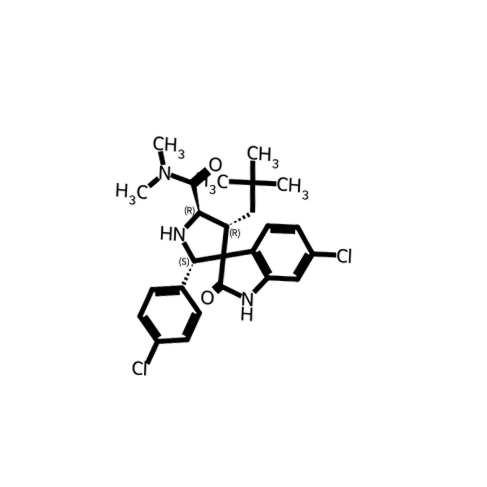 CN(C)C(=O)[C@@H]1N[C@@H](c2ccc(Cl)cc2)C2(C(=O)Nc3cc(Cl)ccc32)[C@H]1CC(C)(C)C